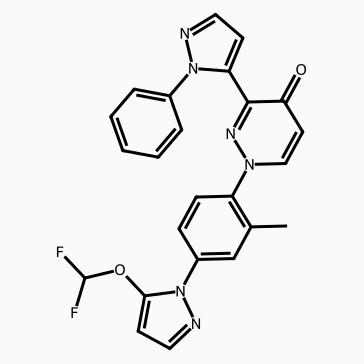 Cc1cc(-n2nccc2OC(F)F)ccc1-n1ccc(=O)c(-c2ccnn2-c2ccccc2)n1